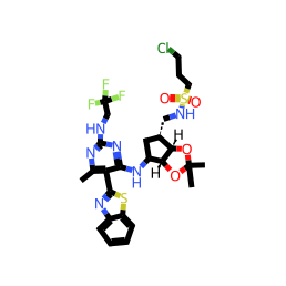 Cc1nc(NCC(F)(F)F)nc(NC2C[C@H](CNS(=O)(=O)CCCCl)[C@H]3OC(C)(C)O[C@@H]23)c1-c1nc2ccccc2s1